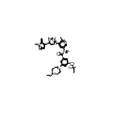 CCN1CCN(c2cc(OC(F)(F)F)cc(C(=O)Nc3cnc(C)c(-n4cc(-c5cnn(C)c5C)nn4)c3)c2)CC1